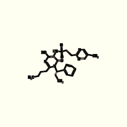 CCCCc1nc(O)c(NS(=O)(=O)CCc2ncc(C)cn2)c(=O)n1[C@@H](CC)c1ccccc1